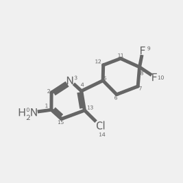 Nc1cnc(C2CCC(F)(F)CC2)c(Cl)c1